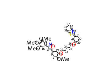 COc1ccc(-c2cc(-c3cc(OC)c(OC)c(OC)c3)no2)cc1OCCCCCOc1cccc(-c2nc3ccccc3s2)c1